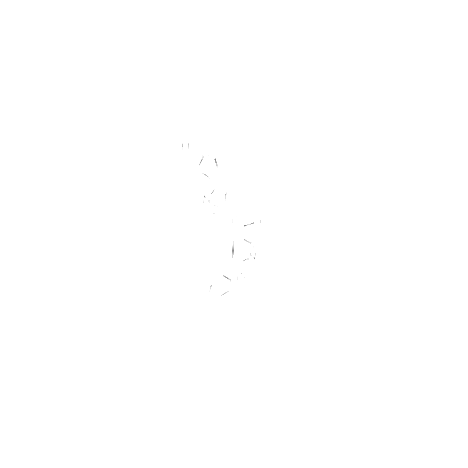 Cc1ccc(-c2cc(COC(=O)c3ccc(Oc4ccccc4)nc3)on2)cc1